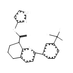 O=C(Nc1cc[nH]n1)C1CCCc2ccc(-c3cccc(C(F)(F)F)c3)nc21